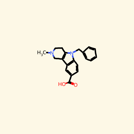 CN1CCc2c(c3cc(C(=O)O)ccc3n2Cc2ccccc2)C1